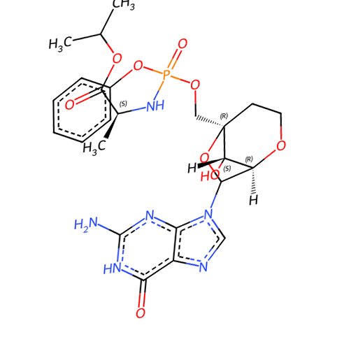 CC(C)OC(=O)[C@H](C)NP(=O)(OC[C@@]12CCO[C@@H](C(n3cnc4c(=O)[nH]c(N)nc43)O1)[C@@H]2O)Oc1ccccc1